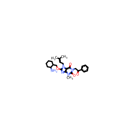 CC(C)=CCn1c(OCC2CCCCC2N)nc2c1c(=O)n(CC(=O)c1ccccc1)c(=O)n2C